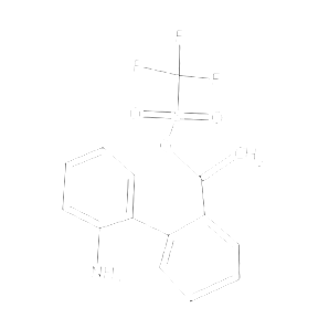 C=C(OS(=O)(=O)C(F)(F)F)c1ccccc1-c1ccccc1N